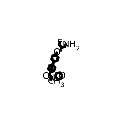 CN(C(=O)C12CCC(c3ccc(OCC(=CF)CN)cc3)(CC1)CC2)C1CCOCC1